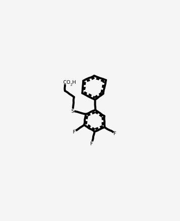 O=C(O)CCSc1c(-c2ccccc2)cc(F)c(F)c1F